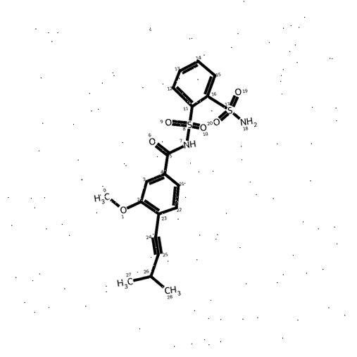 COc1cc(C(=O)NS(=O)(=O)c2ccccc2S(N)(=O)=O)ccc1C#CC(C)C